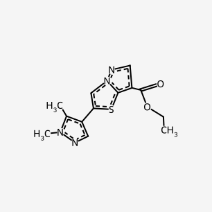 CCOC(=O)c1cnn2cc(-c3cnn(C)c3C)sc12